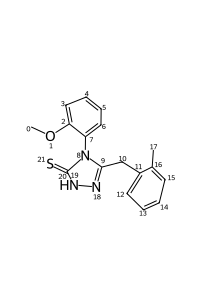 COc1ccccc1-n1c(Cc2ccccc2C)n[nH]c1=S